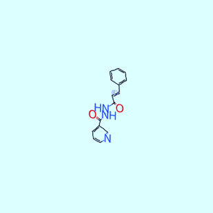 O=C(/C=C/c1ccccc1)NNC(=O)c1cccnc1